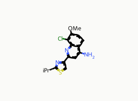 COc1ccc2c(N)cc(-c3csc(C(C)C)n3)nc2c1Cl